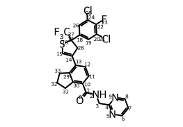 O=C(NCc1ncccn1)c1ccc(C2=CSC(c3cc(Cl)c(F)c(Cl)c3)(C(F)(F)F)C2)c2c1CCC2